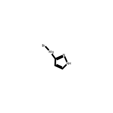 [Br][Mg][c]1cc[nH]n1